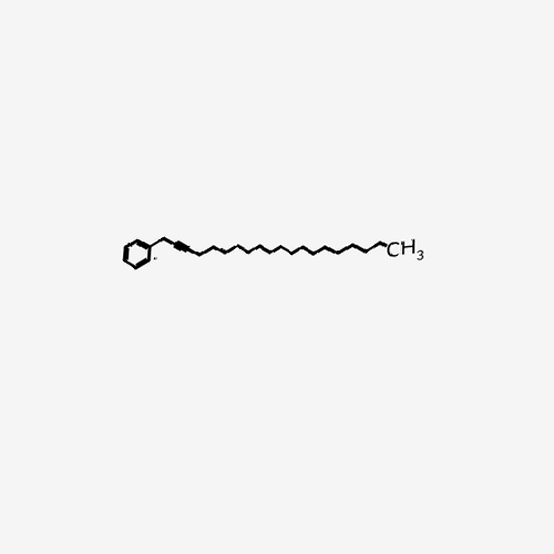 CCCCCCCCCCCCCCCCCC#CCc1[c]cccc1